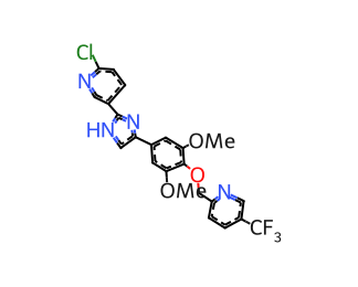 COc1cc(-c2c[nH]c(-c3ccc(Cl)nc3)n2)cc(OC)c1OCc1ccc(C(F)(F)F)cn1